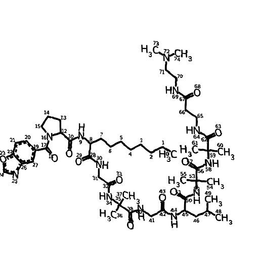 CCCCCCCCC(NC(=O)C1CCCN1C(=O)c1ccc2ocnc2c1)C(=O)NCC(=O)NC(C)(C)C(=O)NCC(=O)NC(CC(C)C)C(=O)NC(C)(C)C(=O)NC(C)(C)C(=O)NCCC(=O)NCCN(C)C